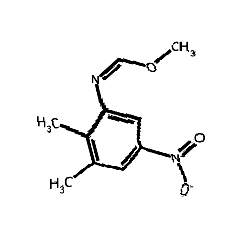 CO/C=N\c1cc([N+](=O)[O-])cc(C)c1C